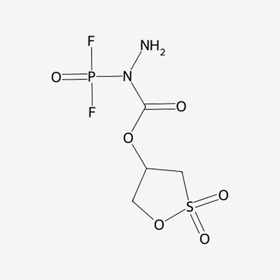 NN(C(=O)OC1COS(=O)(=O)C1)P(=O)(F)F